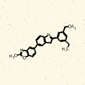 CCc1cc(CC)cc(C2=Nc3ccc(-c4ccc5oc(C)nc5c4)cc3C2)c1